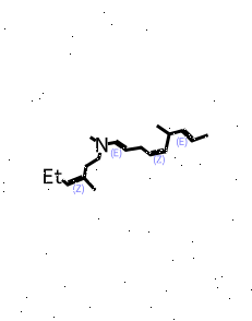 C/C=C/C(C)/C=C\C/C=C/N(C)CC/C(C)=C\CC